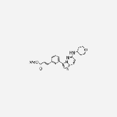 COC(=O)C=Cc1cccc(-c2cnc3ccc(NC4CCOCC4)nn23)c1